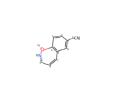 N#Cc1ccc2c(c1)C=CC=NO2